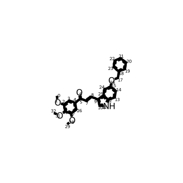 COc1cc(C(=O)C=Cc2c[nH]c3ccc(OCc4ccccc4)cc23)cc(OC)c1OC